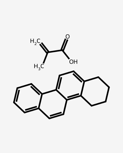 C=C(C)C(=O)O.c1ccc2c(c1)ccc1c3c(ccc12)CCCC3